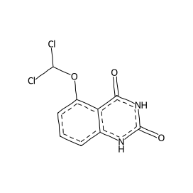 O=c1[nH]c(=O)c2c(OC(Cl)Cl)cccc2[nH]1